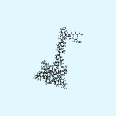 CCCCCCCCC1(CCCCCCCC)c2ccccc2-c2ccc(-c3ccc4c(c3)C(C)(C)c3cc(-c5ccc6c(c5)C(C)(C)c5cc(-c7cccc8c7-c7ccccc7C87c8cc(N(c9ccc(C(C)(C)C)cc9)c9ccc(C(C)(C)C)cc9)c9c(oc%10ccccc%109)c8-c8c7cc(N(c7ccc(C(C)(C)C)cc7)c7ccc(C(C)(C)C)cc7)c7oc9ccccc9c87)ccc5-6)ccc3-4)cc21